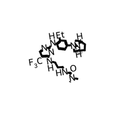 CCc1cc(N2C[C@H]3CC[C@@H](C2)N3C)ccc1Nc1ncc(C(F)(F)F)c(NCCCNC(=O)N(C)C)n1